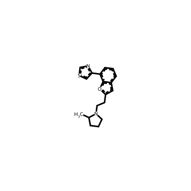 CC1CCCN1CCc1cc2cccc(-c3cscn3)c2o1